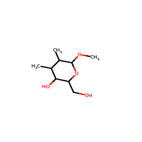 COC1OC(CO)C(O)C(C)C1C